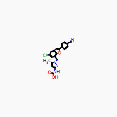 Cc1cc(NC(=O)O)nn1Cc1cc(Cl)cc2cc(-c3ccc(C#N)cc3)oc12